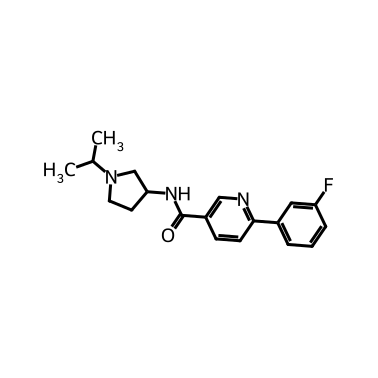 CC(C)N1CCC(NC(=O)c2ccc(-c3cccc(F)c3)nc2)C1